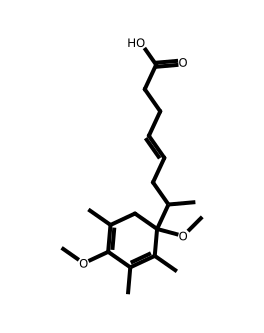 COC1=C(C)CC(OC)(C(C)CC=CCCC(=O)O)C(C)=C1C